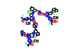 C=C(F)C(=O)N1CCN(c2nc(OCC3CCN3C(C)C)nc3c2CCN(c2cc(C4CCC5(COc6nc7c(c(N8CCN(C(=O)C(=C)F)[C@@H](CC#N)C8)n6)CCN(c6cc(CN8CCOC(COc9nc%10c(c(N%11CCN(C(O)C(=C)F)[C@@H](CC#N)C%11)n9)CCN(c9cccc%11cccc(Cl)c9%11)C%10)C8)cc8cccc(Cl)c68)C7)CCCN45)cc4cccc(Cl)c24)C3)C[C@@H]1CC#N